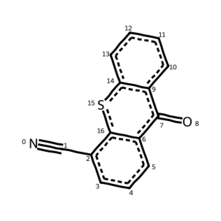 N#Cc1cccc2c(=O)c3ccccc3sc12